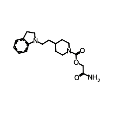 NC(=O)COC(=O)N1CCC(CCN2CCc3ccccc32)CC1